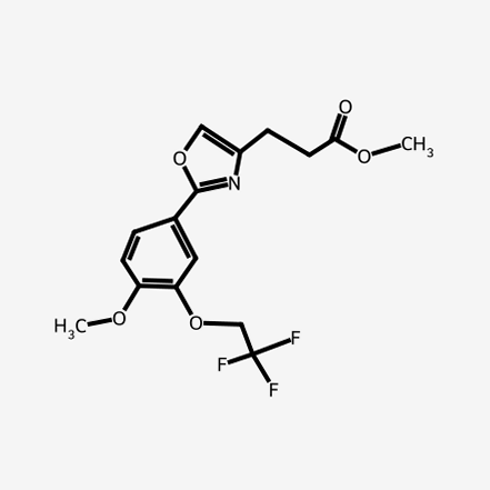 COC(=O)CCc1coc(-c2ccc(OC)c(OCC(F)(F)F)c2)n1